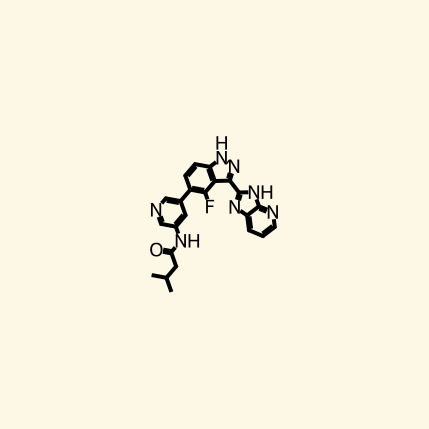 CC(C)CC(=O)Nc1cncc(-c2ccc3[nH]nc(-c4nc5cccnc5[nH]4)c3c2F)c1